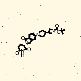 CC(C)(C)OC(=O)N1CC(C2CCN(c3ccc4c(c3)CN(C3CCC(=O)NC3=O)C4=O)CC2)C1